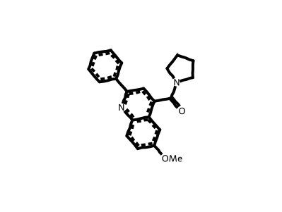 COc1ccc2nc(-c3ccccc3)cc(C(=O)N3C[CH]CC3)c2c1